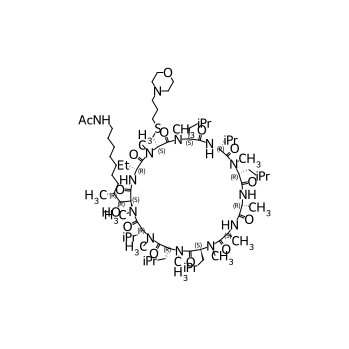 CC[C@H]1NC(=O)[C@H]([C@H](O)[C@H](C)CCCCCCCNC(C)=O)N(C)C(=O)[C@@H](C(C)C)N(C)C(=O)[C@@H](CC(C)C)N(C)C(=O)[C@H](CC(C)C)N(C)C(=O)[C@H](C)NC(=O)[C@@H](C)NC(=O)[C@@H](CC(C)C)N(C)C(=O)[C@@H](C(C)C)NC(=O)[C@H](CC(C)C)N(C)C(=O)[C@@H](CSCCCN2CCOCC2)N(C)C1=O